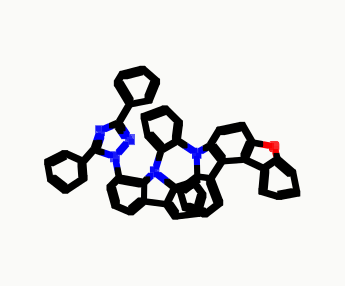 c1ccc(-c2nc(-c3ccccc3)n(-c3cccc4c5ccccc5n(-c5ccccc5-n5c6ccccc6c6c7c(ccc65)oc5ccccc57)c34)n2)cc1